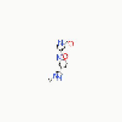 O=Cc1cc(-c2nc3cc(-c4cnn(C5CC5)c4)ccc3o2)ccn1